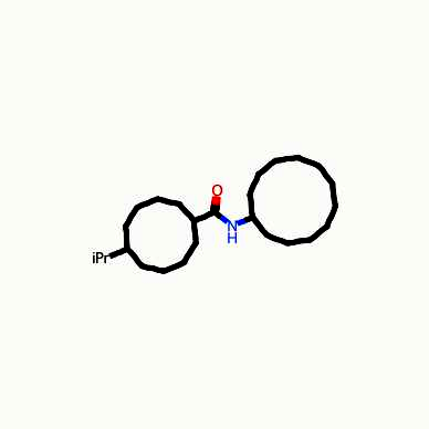 CC(C)C1CCCCC(C(=O)NC2CCCCCCCCCCC2)CCCC1